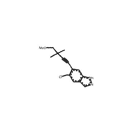 COCC(C)(C)C#Cc1cc2[nH]ncc2cc1Cl